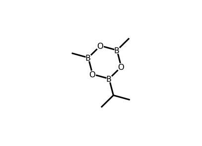 CB1OB(C)OB(C(C)C)O1